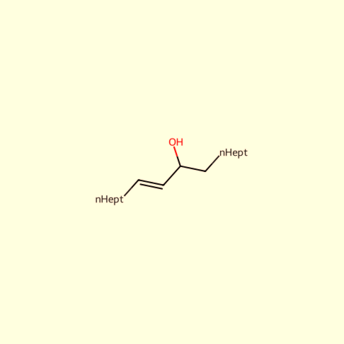 CCCCCCCC=CC(O)CCCCCCCC